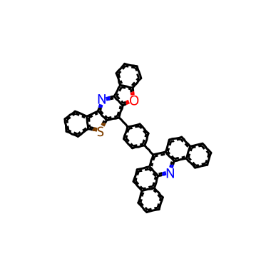 c1ccc2c(c1)ccc1c(-c3ccc(-c4c5oc6ccccc6c5nc5c4sc4ccccc45)cc3)c3ccc4ccccc4c3nc12